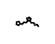 CCOCCn1ccnc1CCCN1CCCC1